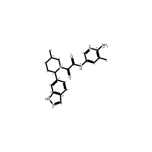 Cc1cc(NC(=O)C(=O)N2CC(C)CCC2c2ccc3cn[nH]c3c2)cnc1N